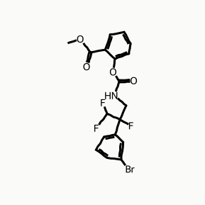 COC(=O)c1ccccc1OC(=O)NCC(F)(c1cccc(Br)c1)C(F)F